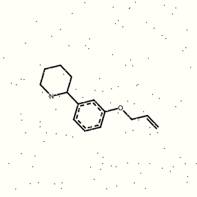 C=CCOc1cccc(C2CCCC[N]2)c1